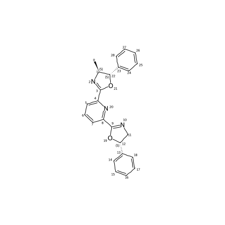 C[C@@H]1N=C(c2cccc(C3=NC[C@H](c4ccccc4)O3)n2)O[C@H]1c1ccccc1